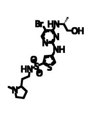 C[C@H](CO)Nc1nc(Nc2csc(S(=O)(=O)NCCC3CCCN3C)c2)ncc1Br